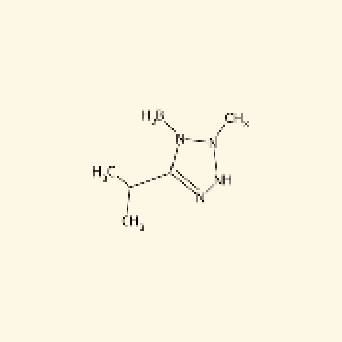 BN1C(C(C)C)=NNN1C